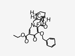 CCOC(=O)c1cn2c(c(OCc3ccccc3)c1=O)C(=O)N1[C@@H]3CC[C@@H](C[C@H]3F)[C@@H]1C2